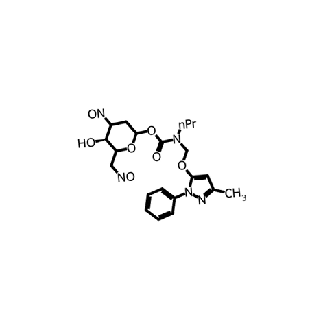 CCCN(COc1cc(C)nn1-c1ccccc1)C(=O)OC1CC(N=O)[C@H](O)C(CN=O)O1